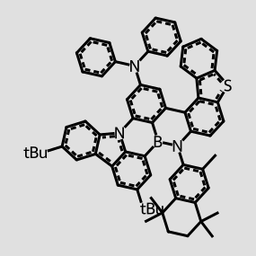 Cc1cc2c(cc1N1B3c4c(cc(N(c5ccccc5)c5ccccc5)cc4-n4c5ccc(C(C)(C)C)cc5c5cc(C(C)(C)C)cc3c54)-c3c1ccc1sc4ccccc4c31)C(C)(C)CCC2(C)C